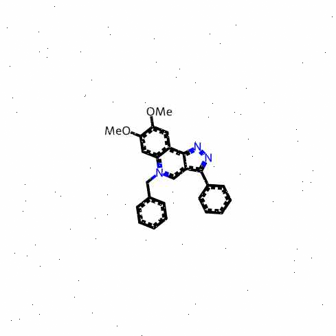 COc1cc2c3nnc(-c4ccccc4)c-3cn(Cc3ccccc3)c2cc1OC